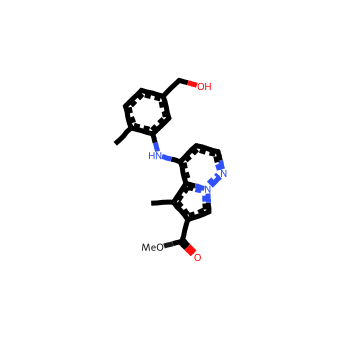 COC(=O)c1cn2nccc(Nc3cc(CO)ccc3C)c2c1C